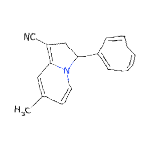 CC1=CC2=C(C#N)CC(c3ccccc3)N2C=C1